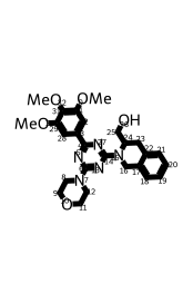 COc1cc(-c2nc(N3CCOCC3)nc(N3Cc4ccccc4CC3CO)n2)cc(OC)c1OC